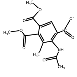 COC(=O)c1cc([N+](=O)[O-])c(NC(C)=O)c(C)c1C(=O)OC